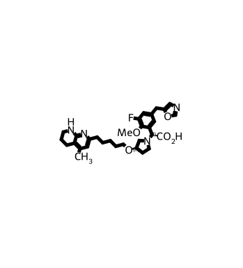 COc1c(F)cc(Cc2cnco2)cc1[C@H](C(=O)O)N1CC[C@@H](OCCCCCc2cc(C)c3c(n2)NCCC3)C1